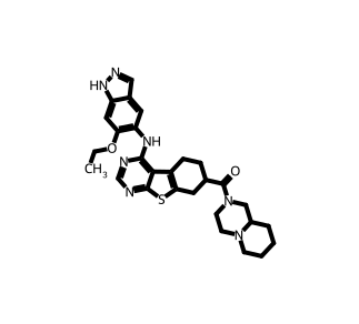 CCOc1cc2[nH]ncc2cc1Nc1ncnc2sc3c(c12)CCC(C(=O)N1CCN2CCCCC2C1)C3